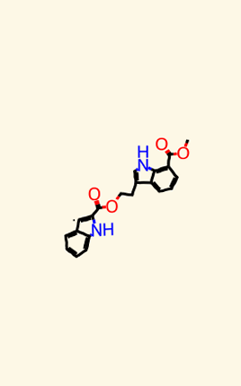 COC(=O)c1cccc2c(CCOC(=O)c3[c]c4ccccc4[nH]3)c[nH]c12